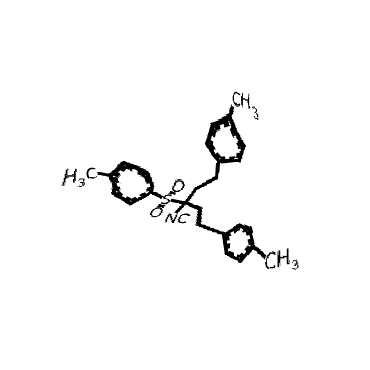 [C-]#[N+]C(CCc1ccc(C)cc1)(CCc1ccc(C)cc1)S(=O)(=O)c1ccc(C)cc1